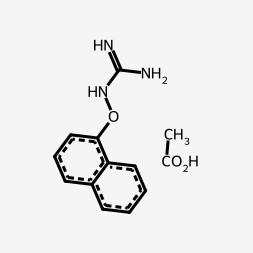 CC(=O)O.N=C(N)NOc1cccc2ccccc12